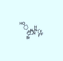 CC(CC(F)(F)F)Nc1ncc2c(Br)cc([C@H]3CC[C@H](O)CC3)n2n1